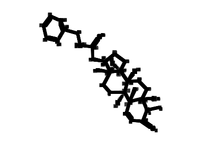 CN1C(=O)C=C[C@]2(C)[C@H]3CC[C@]4(C)[C@@H](CC(=O)NCc5ncccn5)CC[C@H]4[C@@H]3CC[C@@H]12